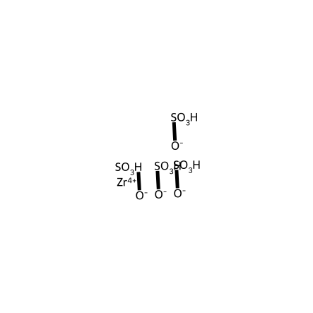 O=S(=O)([O-])O.O=S(=O)([O-])O.O=S(=O)([O-])O.O=S(=O)([O-])O.[Zr+4]